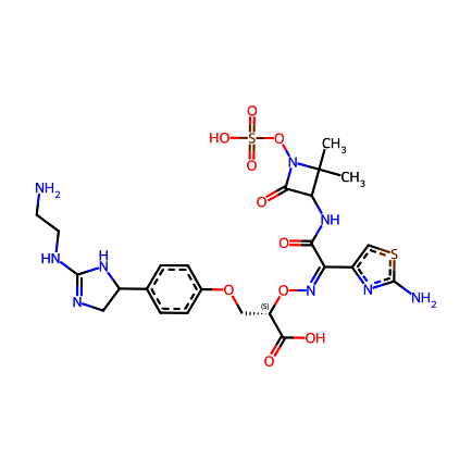 CC1(C)C(NC(=O)C(=NO[C@@H](COc2ccc(C3CN=C(NCCN)N3)cc2)C(=O)O)c2csc(N)n2)C(=O)N1OS(=O)(=O)O